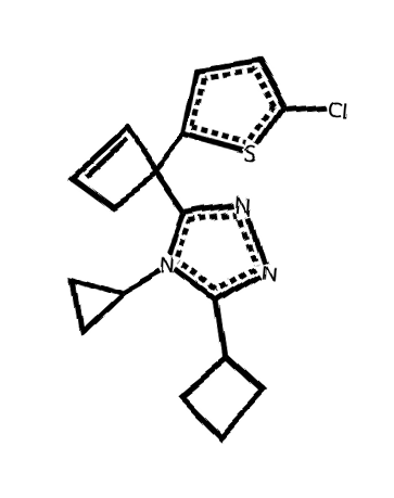 Clc1ccc(C2(c3nnc(C4CCC4)n3C3CC3)C=CC2)s1